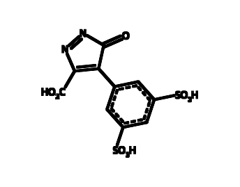 O=C(O)C1=C(c2cc(S(=O)(=O)O)cc(S(=O)(=O)O)c2)C(=O)N=N1